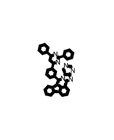 c1ccc(-c2cc(-c3cccc(-c4c5c6ccccc6c6cccc(c65)c5nc6ncncc6n45)c3)nc(-c3ccccc3)n2)cc1